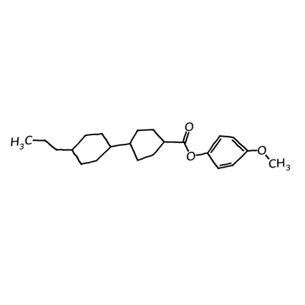 CCCC1CCC(C2CCC(C(=O)Oc3ccc(OC)cc3)CC2)CC1